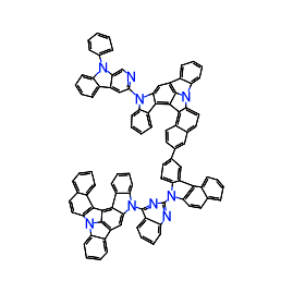 c1ccc(-n2c3ccccc3c3cc(-n4c5ccccc5c5c6c7c8ccc(-c9ccc%10c(c9)c9c%11ccccc%11ccc9n%10-c9nc(-n%10c%11ccccc%11c%11c%12c%13c%14ccccc%14ccc%13n%13c%14ccccc%14c(cc%11%10)c%12%13)c%10ccccc%10n9)cc8ccc7n7c8ccccc8c(cc54)c67)ncc32)cc1